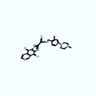 Cc1cc(N2CCN(C)CC2)ccc1CNC(=O)c1nc2c(s1)C(=O)c1ccncc1C2=O